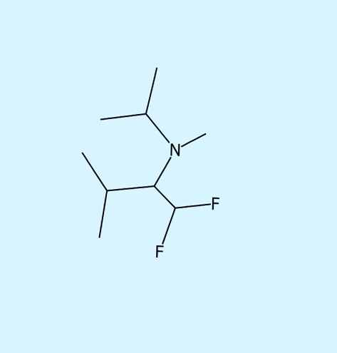 CC(C)C(C(F)F)N(C)C(C)C